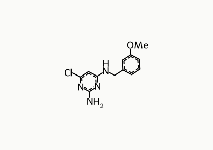 COc1cccc(CNc2cc(Cl)nc(N)n2)c1